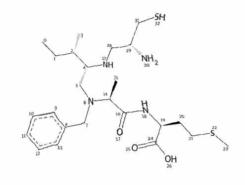 CC[C@H](C)[C@@H](CN(Cc1ccccc1)[C@@H](C)C(=O)N[C@@H](CCSC)C(=O)O)NC[C@@H](N)CS